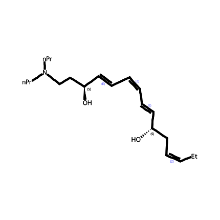 CC/C=C\C[C@H](O)/C=C/C=C\C=C\[C@@H](O)CCN(CCC)CCC